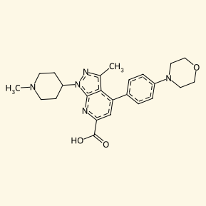 Cc1nn(C2CCN(C)CC2)c2nc(C(=O)O)cc(-c3ccc(N4CCOCC4)cc3)c12